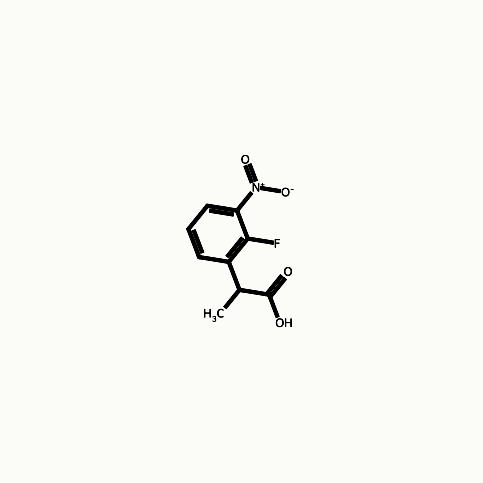 CC(C(=O)O)c1cccc([N+](=O)[O-])c1F